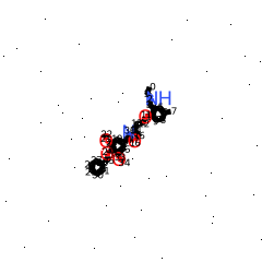 CCNCc1cc(C)ccc1OCCc1coc(-c2cc(OC)c(OCc3ccccc3)c(OC)c2)n1